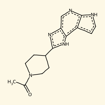 CC(=O)N1CCC(c2nc3cnc4[nH]ccc4c3[nH]2)CC1